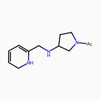 CC(=O)N1CCC(NCC2=CC=CCN2)C1